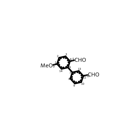 COc1ccc(C=O)c(-c2cccc(C=O)c2)c1